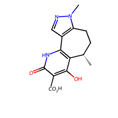 C[C@H]1CCc2c(cnn2C)-c2[nH]c(=O)c(C(=O)O)c(O)c21